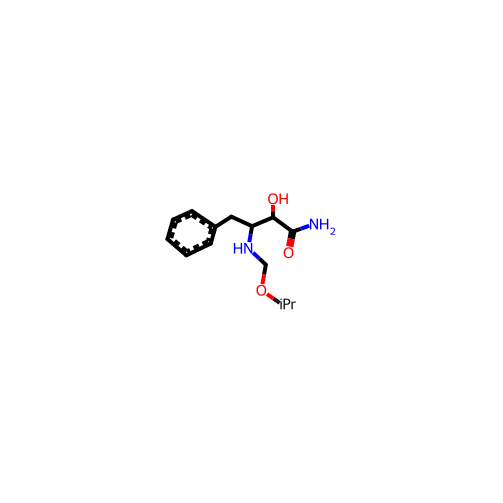 CC(C)OCNC(Cc1ccccc1)C(O)C(N)=O